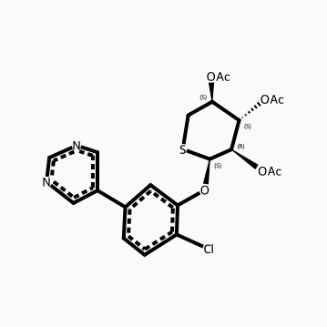 CC(=O)O[C@@H]1[C@@H](OC(C)=O)[C@@H](Oc2cc(-c3cncnc3)ccc2Cl)SC[C@H]1OC(C)=O